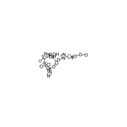 COCCOCCOC[C@@]1(F)CC=C(c2nccc(COc3ccc4cc3C[C@H](C(=O)O)Oc3ncnc5sc(C6CCC6)c(c35)-c3c(C)c(Cl)c(c(Cl)c3C)O[C@H](CN3CCN(C)CC3)CO4)n2)CC1